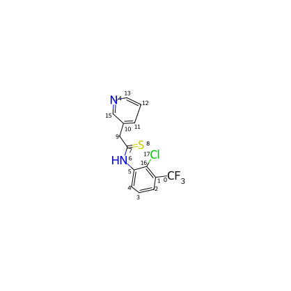 FC(F)(F)c1cccc(NC(=S)Cc2cccnc2)c1Cl